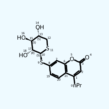 CCCc1cc(=O)oc2cc(S[C@@H]3SC[C@@H](O)[C@H](O)[C@H]3O)ccc12